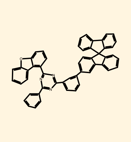 c1ccc(-c2nc(-c3cccc(-c4ccc5c(c4)-c4ccccc4C54c5ccccc5-c5ccccc54)c3)nc(-c3cccc4oc5ccccc5c34)n2)cc1